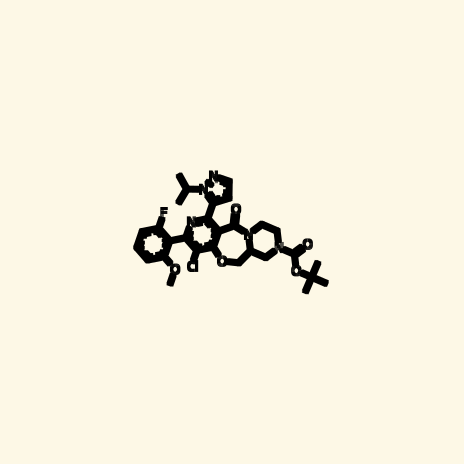 COc1cccc(F)c1-c1nc(-c2ccnn2C(C)C)c2c(c1Cl)OCC1CN(C(=O)OC(C)(C)C)CCN1C2=O